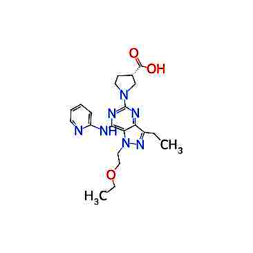 CCOCCn1nc(CC)c2nc(N3CC[C@H](C(=O)O)C3)nc(Nc3ccccn3)c21